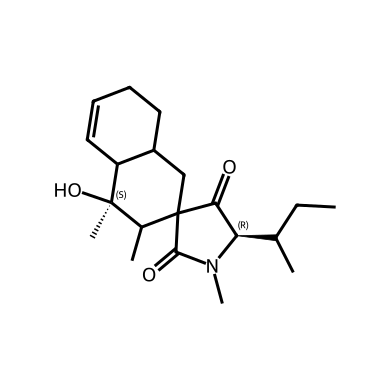 CCC(C)[C@@H]1C(=O)C2(CC3CCC=CC3[C@](C)(O)C2C)C(=O)N1C